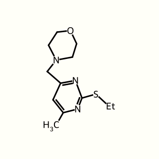 CCSc1nc(C)cc(CN2CCOCC2)n1